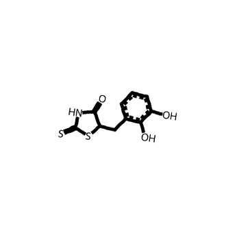 O=C1NC(=S)SC1Cc1cccc(O)c1O